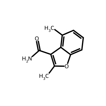 Cc1oc2cccc(C)c2c1C(N)=O